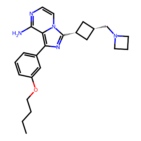 CCCCOc1cccc(-c2nc([C@H]3C[C@@H](CN4CCC4)C3)n3ccnc(N)c23)c1